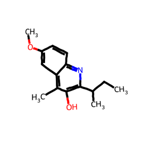 CCC(C)c1nc2ccc(OC)cc2c(C)c1O